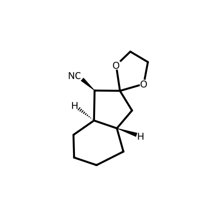 N#C[C@@H]1[C@@H]2CCCC[C@H]2CC12OCCO2